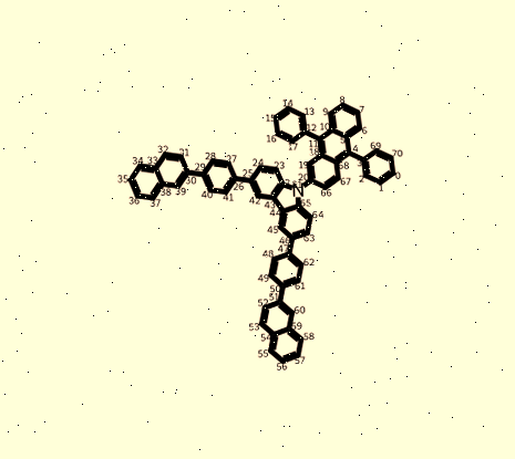 c1ccc(-c2c3ccccc3c(-c3ccccc3)c3cc(-n4c5ccc(-c6ccc(-c7ccc8ccccc8c7)cc6)cc5c5cc(-c6ccc(-c7ccc8ccccc8c7)cc6)ccc54)ccc23)cc1